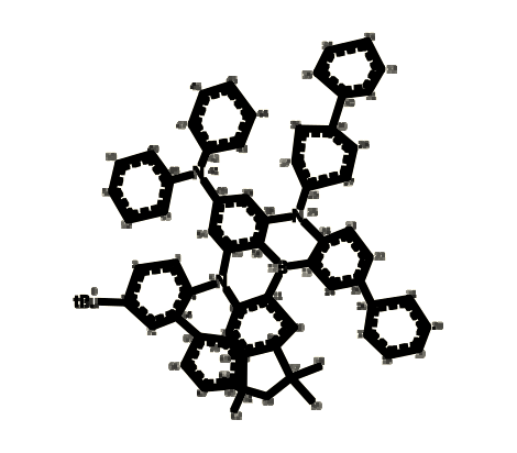 CC(C)(C)c1ccc(N2c3cc4c(cc3B3c5cc(-c6ccccc6)ccc5N(c5ccc(-c6ccccc6)cc5)c5cc(N(c6ccccc6)c6ccccc6)cc2c53)C(C)(C)CC4(C)C)c(-c2ccccc2)c1